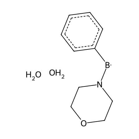 O.O.[B](c1ccccc1)N1CCOCC1